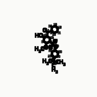 COc1cc(O)c(C(=O)c2ccccc2)cc1S(=O)(=O)Oc1ccc(C(C)(C)C)cc1